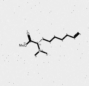 C=CCCCCC[C@@H](C(=O)OC)N(C)C